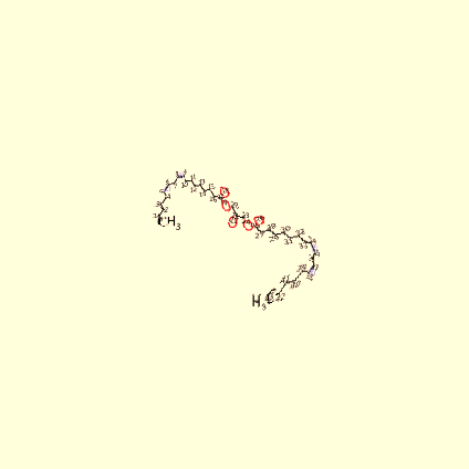 CCCCC/C=C\C/C=C\CCCCCCCC(=O)OCC(=O)COC(=O)CCCCCCC/C=C\C/C=C\CCCCC